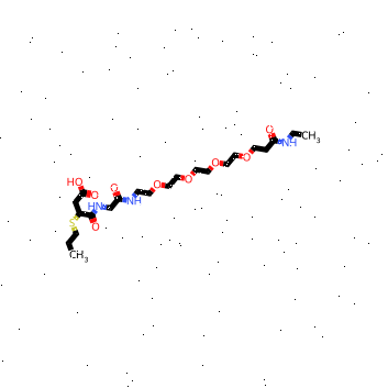 CCCSC(CC(=O)O)C(=O)NCC(=O)NCCOCCOCCOCCOCCC(=O)NCC